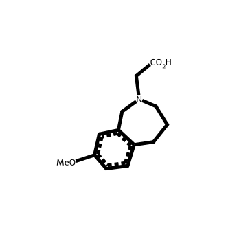 COc1ccc2c(c1)CN(CC(=O)O)CCC2